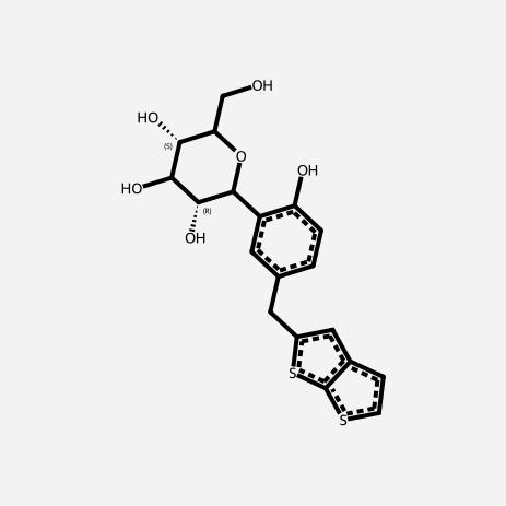 OCC1OC(c2cc(Cc3cc4ccsc4s3)ccc2O)[C@H](O)C(O)[C@@H]1O